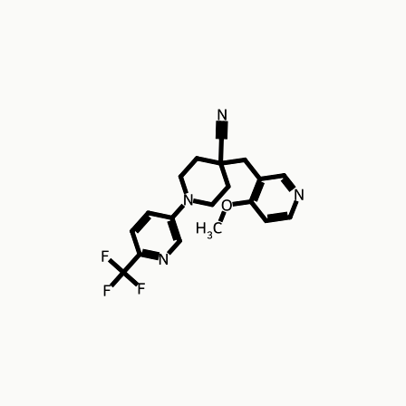 COc1ccncc1CC1(C#N)CCN(c2ccc(C(F)(F)F)nc2)CC1